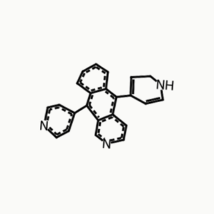 C1=CC(c2c3ccccc3c(-c3ccncc3)c3cnccc23)=CCN1